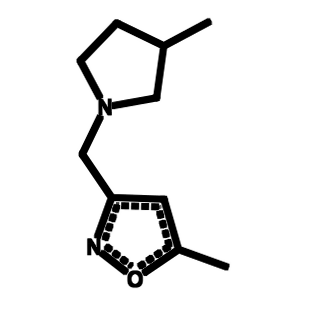 Cc1cc(CN2CCC(C)C2)no1